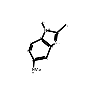 CNc1ccc2c(c1)nc(C)n2C